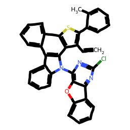 C=Cc1c(-c2ccccc2C)sc2c3ccccc3c3c4ccccc4n(-c4nc(Cl)nc5c4oc4ccccc45)c3c12